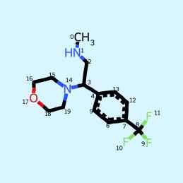 CNCC(c1ccc(C(F)(F)F)cc1)N1CCOCC1